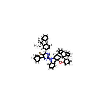 CC1(C)c2ccccc2-c2ccc(-c3nc(-n4c5ccccc5c5c6c(ccc54)C4(c5ccccc5O6)c5ccccc5-c5ccccc54)nc4c3sc3ccccc34)cc21